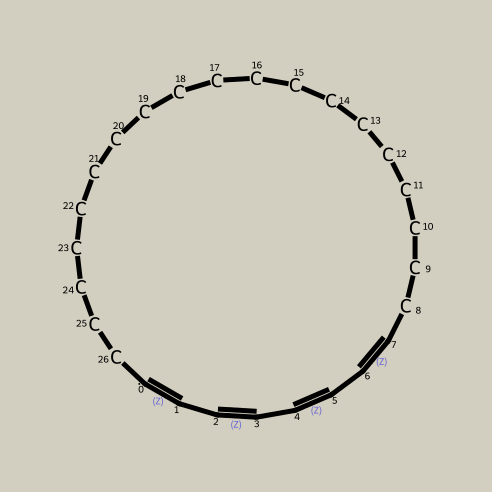 [C]1=C/C=C\C=C/C=C\CCCCCCCCCCCCCCCCCCC\1